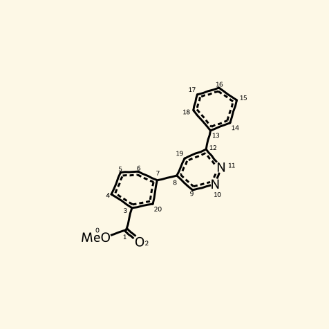 COC(=O)c1cccc(-c2cnnc(-c3ccccc3)c2)c1